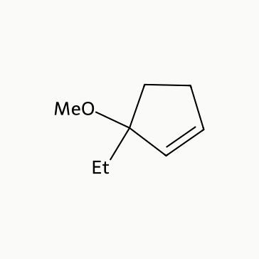 CCC1(OC)C=CCC1